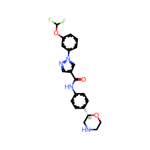 O=C(Nc1ccc([C@H]2CNCCO2)cc1)c1cnn(-c2cccc(OC(F)F)c2)c1